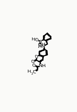 C=CC(=O)Nc1cc2ccc(NCc3ccccc3B(O)O)cc2oc1=O